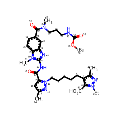 CCn1nc(C)c(CCCCCn2nc(C)cc2C(=O)Nc2nc3cc(C(=O)N(C)CCCNC(=O)OC(C)(C)C)ccc3n2C)c1C(=O)O